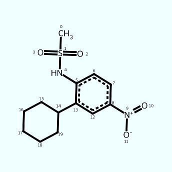 CS(=O)(=O)Nc1ccc([N+](=O)[O-])cc1C1CCCCC1